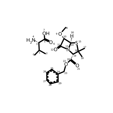 CC(C)[C@H](N)C(=O)O.CO[C@H]1C(=O)N2[C@@H]1SC(C)(C)[C@@H]2C(=O)OCc1ccccc1